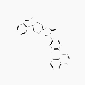 C=NN(c1ncc(N2C[C@]3(CC[C@](c4ccccc4)(N(C)C)CC3)NC2=O)cn1)c1ccccc1C